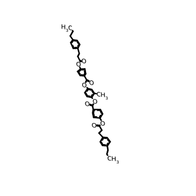 CCCc1ccc(CCC(=O)Oc2ccc(C(=O)Oc3ccc(OC(=O)c4ccc(OC(=O)CCc5ccc(CCC)cc5)cc4)c(C)c3)cc2)cc1